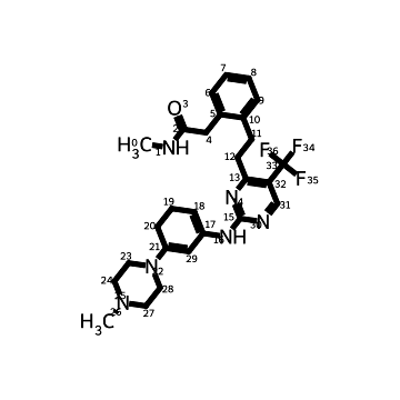 CNC(=O)Cc1ccccc1CCc1nc(NC2=CCCC(N3CCN(C)CC3)=C2)ncc1C(F)(F)F